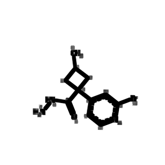 CC1CC(C(=O)NN)(c2ccnc(Br)c2)C1